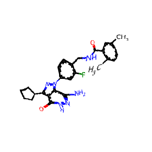 Cc1ccc(C)c(C(=O)NCc2ccc(-n3nc(C4CCCC4)c4c(=O)[nH]nc(N)c43)cc2F)c1